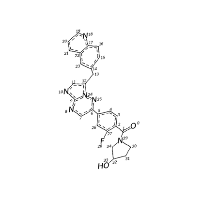 O=C(c1ccc(-c2cnc3ncc(Cc4ccc5ncccc5c4)n3n2)cc1F)N1CCC(O)C1